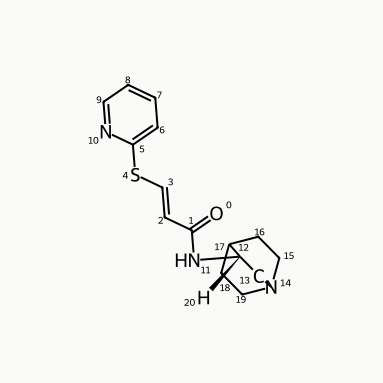 O=C(/C=C/Sc1ccccn1)N[C@H]1CN2CCC1CC2